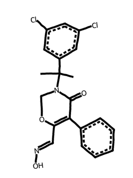 CC(C)(c1cc(Cl)cc(Cl)c1)N1COC(C=NO)=C(c2ccccc2)C1=O